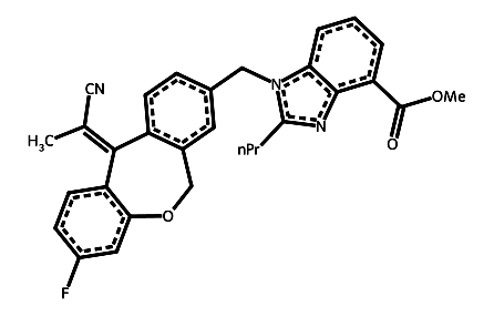 CCCc1nc2c(C(=O)OC)cccc2n1Cc1ccc2c(c1)COc1cc(F)ccc1/C2=C(\C)C#N